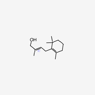 CC1=C(C/C=C(\C)CO)C(C)(C)CCC1